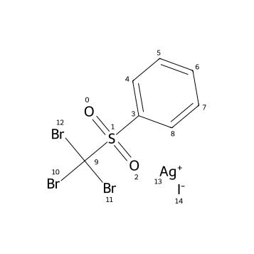 O=S(=O)(c1ccccc1)C(Br)(Br)Br.[Ag+].[I-]